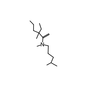 C=C(N(C)CCCC(C)C)C(C)(CC)CCC